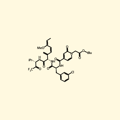 C=C(/C=C\C(=C/C)OC)[C@H](NC(=O)[C@H](Cc1cccc(Cl)c1)NC(=O)c1ccn(CC(=O)OC(C)(C)C)c(=O)c1)C(=O)N[C@H](C(=O)C(F)(F)F)C(C)C